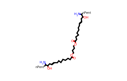 CCCCCC(N)C(O)CC=CCCCCCCCC(=O)OCCCCOC(=O)CCCCCCCC=CCC(O)C(N)CCCCC